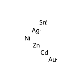 [Ag].[Au].[Cd].[Ni].[Sn].[Zn]